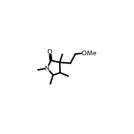 COCCC1(C)C(=O)N(C)C(C)C1C